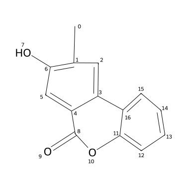 Cc1cc2c(cc1O)c(=O)oc1ccccc12